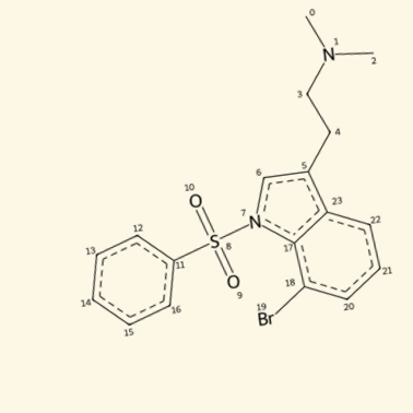 CN(C)CCc1cn(S(=O)(=O)c2ccccc2)c2c(Br)cccc12